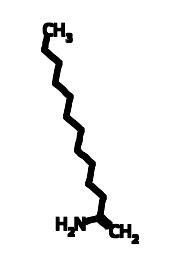 C=C(N)CCCCCCCCCCC